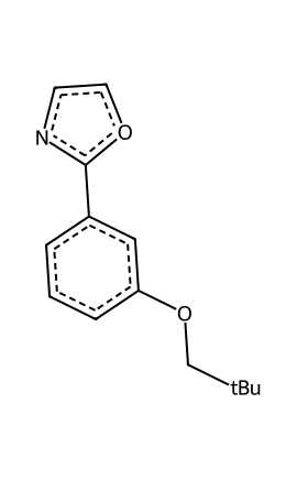 CC(C)(C)COc1cccc(-c2ncco2)c1